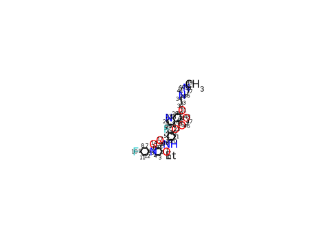 CCOc1ccn(-c2ccc(F)cc2)c(=O)c1C(=O)Nc1ccc(Oc2ccnc3cc(OCCCN4CCN(C)CC4)c4c(c23)OCCO4)c(F)c1